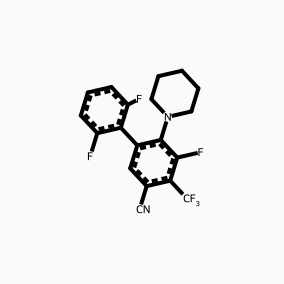 N#Cc1cc(-c2c(F)cccc2F)c(N2CCCCC2)c(F)c1C(F)(F)F